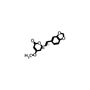 COC1=CC(=O)O[C@@H](/C=C/c2ccc3c(c2)OCO3)C1